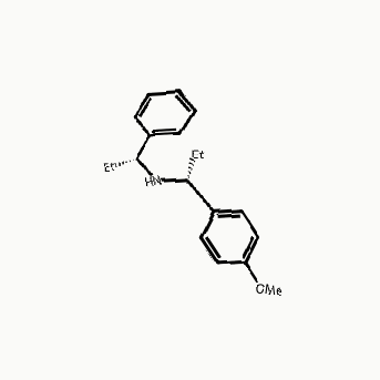 CC[C@@H](N[C@H](CC)c1ccc(OC)cc1)c1ccccc1